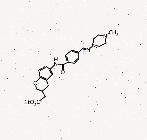 CCOC(=O)CC1COc2ccc(NC(=O)c3ccc(/C=N/N4CCN(C)CC4)cc3)cc2C1